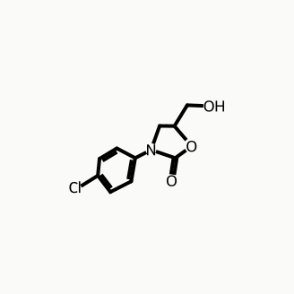 O=C1OC(CO)CN1c1ccc(Cl)cc1